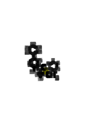 CS(C)(c1ccccc1)[C@H]1C[C@@H]1Cc1ccc(-c2ccccc2)cc1